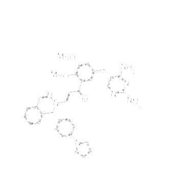 COc1cc(Cc2cnc(N)nc2N)cc(C(=O)/C=C/N2N=Cc3ccccc3C2c2ccc(-n3cccc3)cc2)c1OC